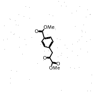 COC(=O)C(=O)Cc1ccc(C(=O)OC)cc1